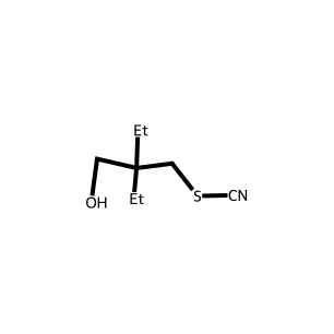 CCC(CC)(CO)CSC#N